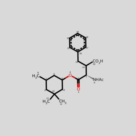 CC(=O)N[C@H](C(=O)OC1CC(C)CC(C)(C)C1)C(Cc1ccccc1)C(=O)O